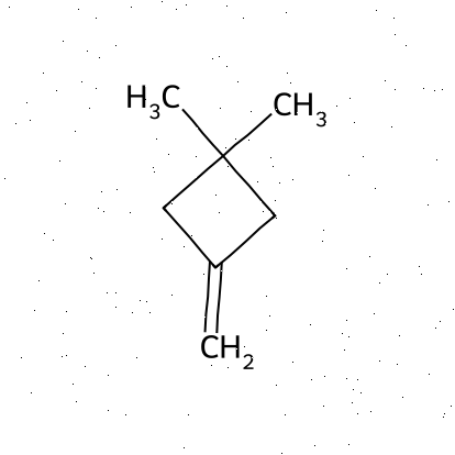 C=C1CC(C)(C)C1